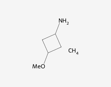 C.COC1CC(N)C1